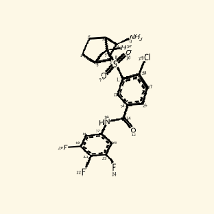 N[C@H]1CC2CCC1[C@@H]2S(=O)(=O)c1cc(C(=O)Nc2cc(F)c(F)c(F)c2)ccc1Cl